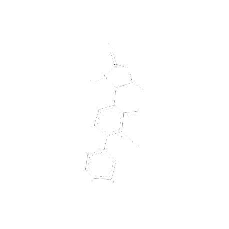 CC1OC(=O)N(C)C1c1ccc(-c2ccccc2)c(F)c1F